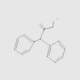 O=C(CO)C(c1ccccc1)c1ccccc1